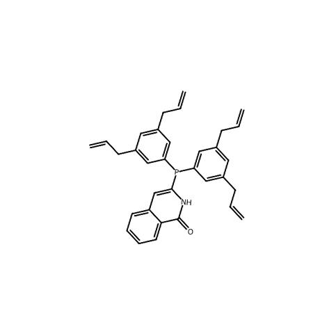 C=CCc1cc(CC=C)cc(P(c2cc(CC=C)cc(CC=C)c2)c2cc3ccccc3c(=O)[nH]2)c1